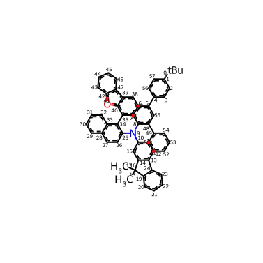 CC(C)(C)c1ccc(-c2ccc(N(c3ccc4c(c3)C(C)(C)c3ccccc3-4)c3ccc4ccccc4c3-c3cccc4c3oc3ccccc34)c(-c3ccccc3)c2)cc1